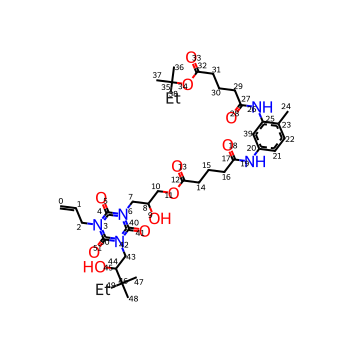 C=CCn1c(=O)n(CC(O)COC(=O)CCCC(=O)Nc2ccc(C)c(NC(=O)CCCC(=O)OC(C)(C)CC)c2)c(=O)n(CC(O)C(C)(C)CC)c1=O